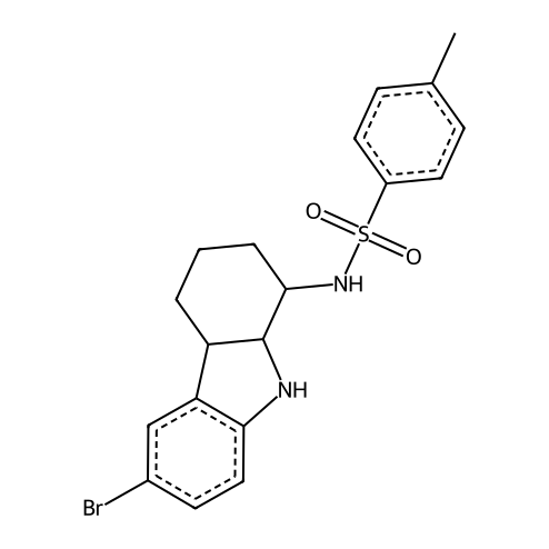 Cc1ccc(S(=O)(=O)NC2CCCC3c4cc(Br)ccc4NC23)cc1